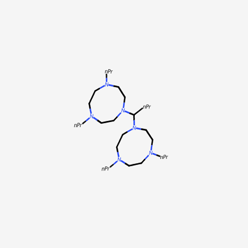 CCCC(N1CCN(CCC)CCN(CCC)CC1)N1CCN(CCC)CCN(CCC)CC1